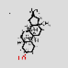 C=C1C[C@@H]2[C@H]3CC[C@@H]4C[C@@H](O)CC[C@@]4(C)[C@@H]3CC[C@@]2(C)C1